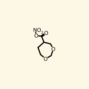 O=C(O[N+](=O)[O-])C1CCOCOC1